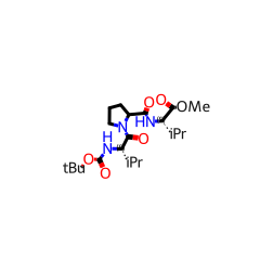 COC(=O)[C@@H](NC(=O)C1CCCN1C(=O)[C@@H](NC(=O)OC(C)(C)C)C(C)C)C(C)C